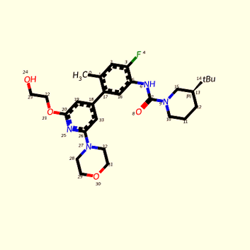 Cc1cc(F)c(NC(=O)N2CCC[C@H](C(C)(C)C)C2)cc1-c1cc(OCCO)nc(N2CCOCC2)c1